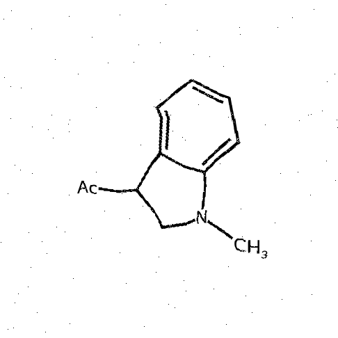 CC(=O)C1CN(C)c2ccccc21